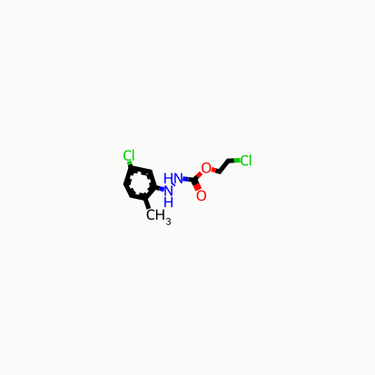 Cc1ccc(Cl)cc1NNC(=O)OCCCl